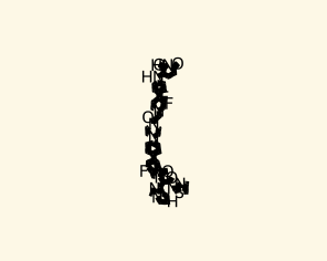 O=C1CCC(Nc2ccc(C3CCN(CC(=O)N4CCN(c5ccc(-c6cc(F)c7c(c6)C(=O)N(C(C(=O)Nc6nccs6)c6ncn8c6CCC8)C7)cc5)CC4)CC3(F)F)cc2)C(=O)N1